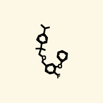 CC(C)c1ccc(C(C)(C)COCc2ccc(F)c(Oc3ccccc3)c2)cc1